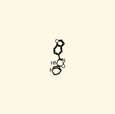 c1cc2cc(C3=NOC4(CN5CCC4CC5)N3)ccc2o1